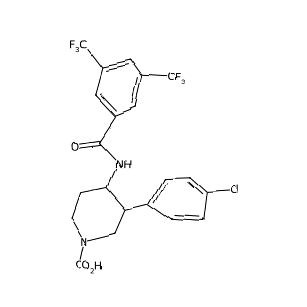 O=C(NC1CCN(C(=O)O)CC1c1ccc(Cl)cc1)c1cc(C(F)(F)F)cc(C(F)(F)F)c1